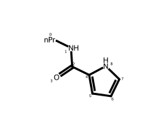 CCCNC(=O)c1ccc[nH]1